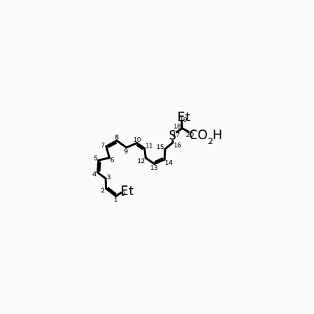 CC/C=C\C/C=C\C/C=C\C/C=C\C/C=C\CCSC(CC)C(=O)O